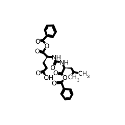 CC(C)C[C@H](NC(=O)N[C@@H](CCC(=O)O)C(=O)OC(=O)c1ccccc1)C(=O)OC(=O)c1ccccc1